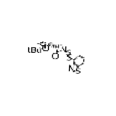 C[C@@H](O[Si](C)(C)C(C)(C)C)[C@@H]1CN(SSc2cccc3scnc23)C1=O